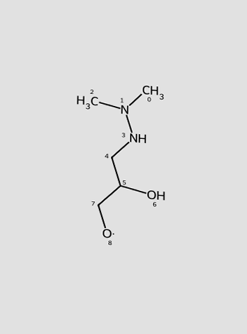 CN(C)NCC(O)C[O]